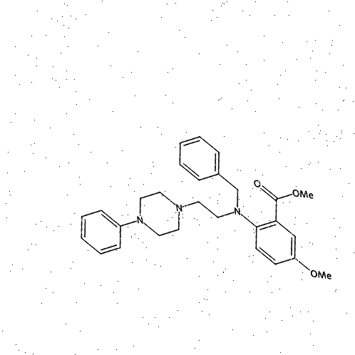 COC(=O)c1cc(OC)ccc1N(CCN1CCN(c2ccccc2)CC1)Cc1ccccc1